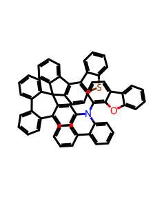 c1ccc(-c2ccccc2N(c2ccc3c(c2)C2(c4ccccc4-c4ccccc4-3)c3ccccc3-c3c2ccc2sc4ccccc4c32)c2cccc3c2oc2ccccc23)cc1